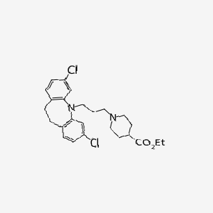 CCOC(=O)C1CCN(CCCN2c3cc(Cl)ccc3CCc3ccc(Cl)cc32)CC1